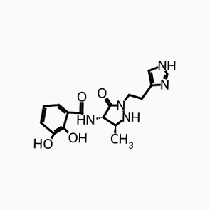 C[C@@H]1NN(CCc2c[nH]cn2)C(=O)[C@H]1NC(=O)c1cccc(O)c1O